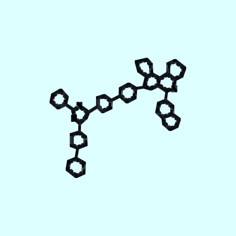 c1ccc(-c2ccc(-c3cc(-c4ccc(-c5ccc(-c6cc7c(-c8ccc9ccccc9c8)nc8ccccc8c7c7ccccc67)cc5)cc4)nc(-c4ccccc4)n3)cc2)cc1